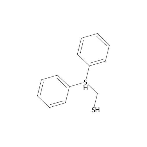 SC[SH](c1ccccc1)c1ccccc1